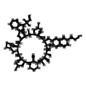 C=CC(C)(C)n1cc(C[C@@H]2NC(=O)[C@H](CC3CCC3)NC(=O)[C@H](CC(C)C)N3CCC[C@@H](C3=O)N(C)C(=O)[C@H](C)NC(=O)[C@H](Cc3ccc4cnc(OCF)nc4c3)NC(=O)[C@H](CC(C)C)N(C)C2=O)c2ccccc21